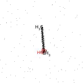 CCCCCCCCCCCCCCCCCCCCCCOC(=O)C(C)O